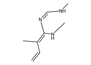 C=C/C(C)=C(/N=C\NC)NC